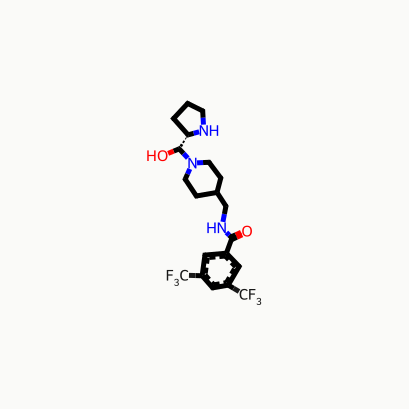 O=C(NCC1CCN(C(O)[C@@H]2CCCN2)CC1)c1cc(C(F)(F)F)cc(C(F)(F)F)c1